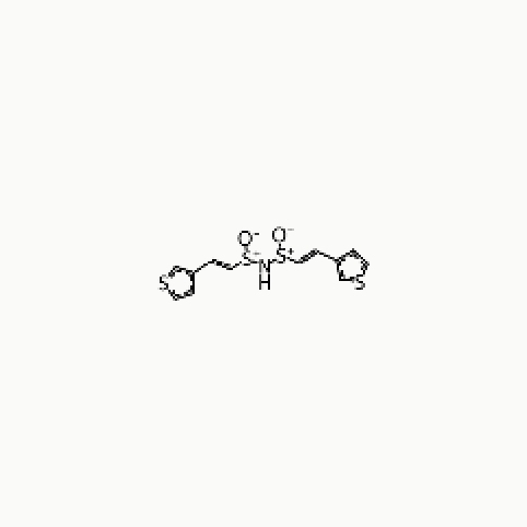 [O-][S+](C=Cc1ccsc1)N[S+]([O-])C=Cc1ccsc1